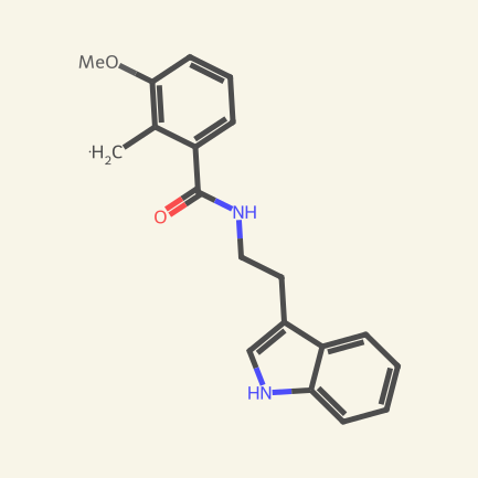 [CH2]c1c(OC)cccc1C(=O)NCCc1c[nH]c2ccccc12